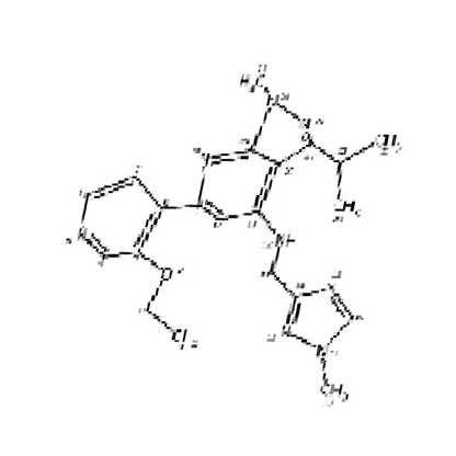 CCOc1cnccc1-c1cc(NCc2ncn(C)n2)c2c(C(C)C)nn(C)c2n1